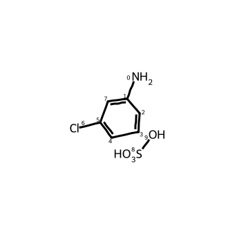 Nc1cccc(Cl)c1.O=S(=O)(O)O